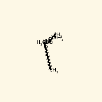 CCCCCCCCCCCCCCOCC(C)CNC(=O)OCCC(C)C